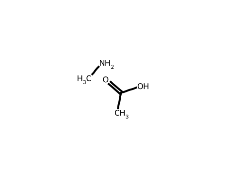 CC(=O)O.CN